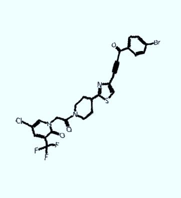 O=C(C#Cc1csc(C2CCN(C(=O)Cn3cc(Cl)cc(C(F)(F)F)c3=O)CC2)n1)c1ccc(Br)cc1